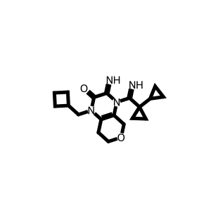 N=C(n1c2c(n(CC3CCC3)c(=O)c1=N)CCOC2)C1(C2CC2)CC1